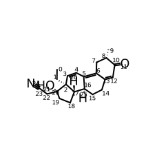 CC[C@]12C=CC3=C4C[C@H](C)C(=O)C=C4CC[C@H]3[C@@H]1CC[C@@]2(O)CC#N